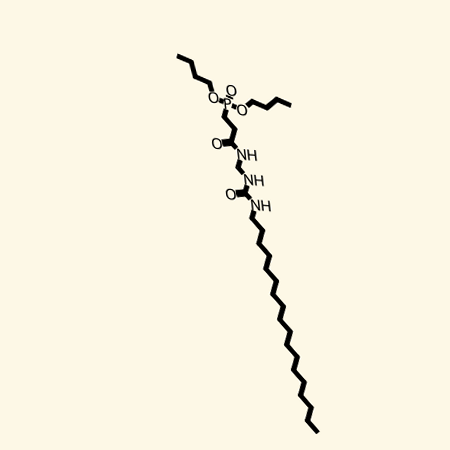 CCCCCCCCCCCCCCCCCCNC(=O)NCNC(=O)CCP(=O)(OCCCC)OCCCC